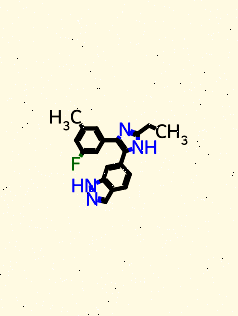 CCc1nc(-c2cc(C)cc(F)c2)c(-c2ccc3cn[nH]c3c2)[nH]1